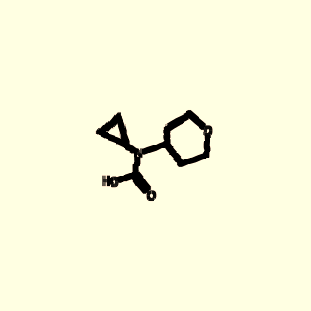 O=C(O)N(C1CCOCC1)C1CC1